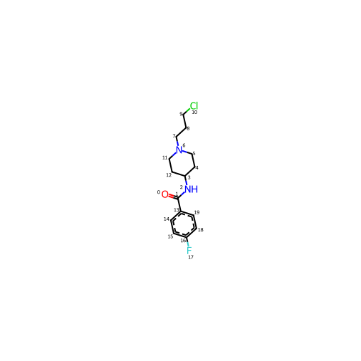 O=C(NC1CCN(CCCCl)CC1)c1ccc(F)cc1